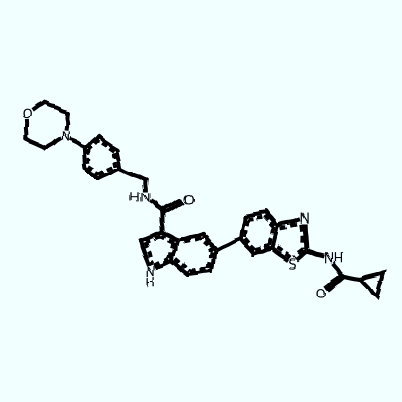 O=C(NCc1ccc(N2CCOCC2)cc1)c1c[nH]c2ccc(-c3ccc4nc(NC(=O)C5CC5)sc4c3)cc12